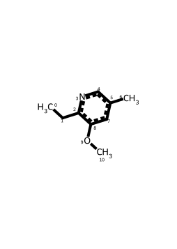 CCc1ncc(C)cc1OC